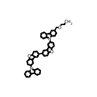 C=CCOCc1ccc2c(c1)c1ccccc1n2-c1ccc2oc3ccc(-c4ccc5oc6ccc(-n7c8ccccc8c8ccccc87)cc6c5c4)cc3c2c1